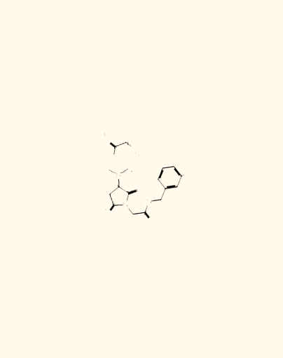 C[C@@H](C(=O)NCc1ccccc1)N1C(=O)CC(N(C)C)C1=O.C[C@H](O)C(=O)O